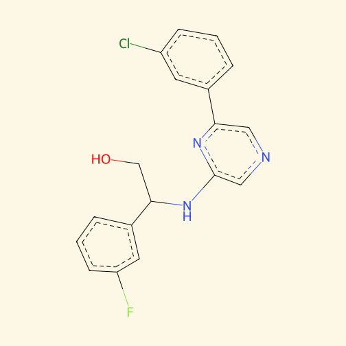 OCC(Nc1cncc(-c2cccc(Cl)c2)n1)c1cccc(F)c1